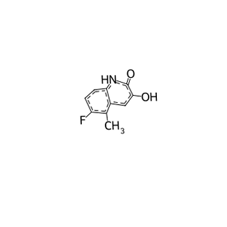 Cc1c(F)ccc2[nH]c(=O)c(O)cc12